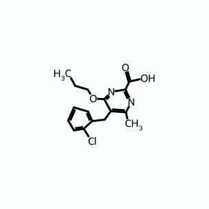 CCCOc1nc(C(=O)O)nc(C)c1Cc1ccccc1Cl